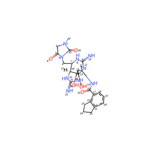 CN1CC(=O)N(CC2NC(=N)N3CC(NC(=O)c4cccc5c4CCC5)C(O)(O)[C@@]34NC(=N)N[C@@H]24)C1=O